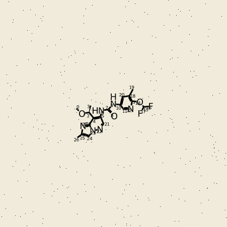 CO[C@@H](C)c1c(NC(=O)Nc2cnc(OC(F)F)c(C)c2)cnn2cc(C)nc12